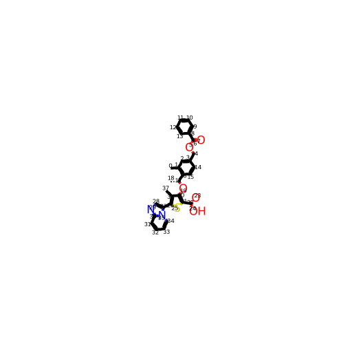 Cc1cc(COC(=O)c2ccccc2)ccc1[C@@H](C)Oc1c(C(=O)O)sc(-c2cnc3ccccn23)c1C